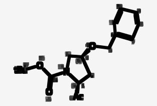 CC(=O)[C@@H]1C[C@H](OCc2ccccc2)CN1C(=O)OC(C)(C)C